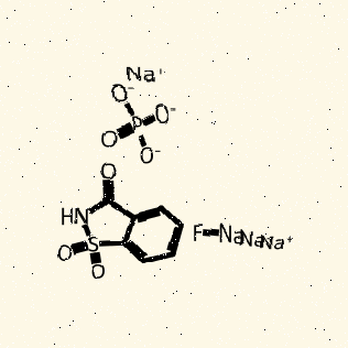 O=C1NS(=O)(=O)c2ccccc21.O=P([O-])([O-])[O-].[F][Na].[Na+].[Na+].[Na+]